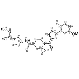 COc1cc(-c2cc(C(=O)N3CCC(C(=O)N[C@@H]4CCN(C(=O)OC(C)(C)C)C4)CC34CC4)n[nH]2)c(F)cn1